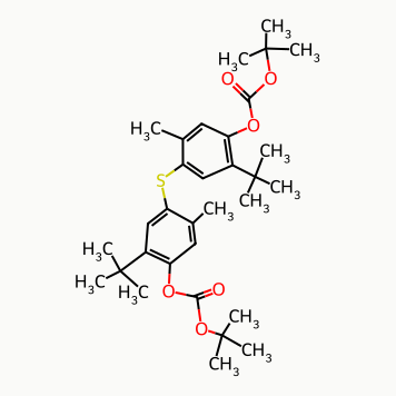 Cc1cc(OC(=O)OC(C)(C)C)c(C(C)(C)C)cc1Sc1cc(C(C)(C)C)c(OC(=O)OC(C)(C)C)cc1C